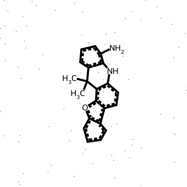 CC1(C)c2cccc(N)c2Nc2ccc3c(oc4ccccc43)c21